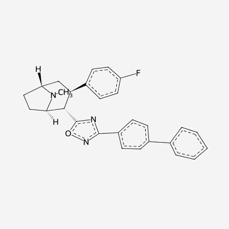 CN1[C@@H]2CC[C@@H]1[C@@H](c1nc(-c3ccc(-c4ccccc4)cc3)no1)[C@H](c1ccc(F)cc1)C2